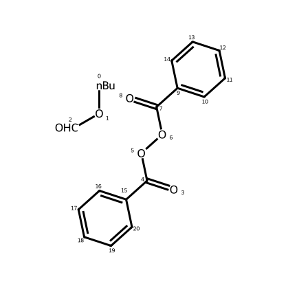 CCCCOC=O.O=C(OOC(=O)c1ccccc1)c1ccccc1